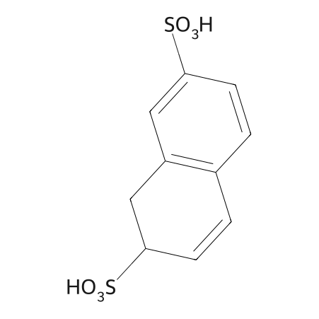 O=S(=O)(O)c1ccc2c(c1)CC(S(=O)(=O)O)C=C2